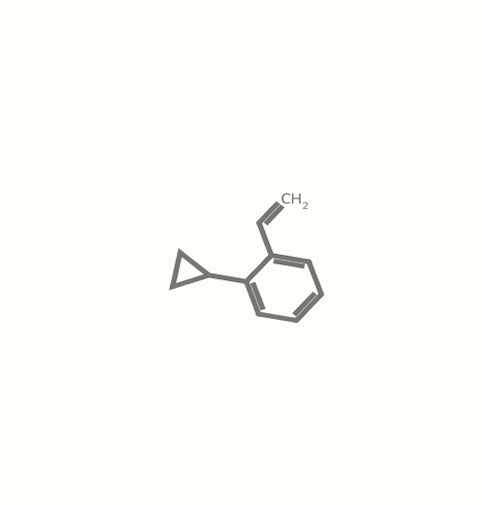 C=Cc1ccccc1C1CC1